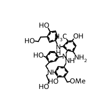 COCc1cc(NN(c2ccc(O)c(CNCCO)c2)c2c(N)cc(O)c(C)c2Nc2ccc(O)c(CCO)c2)ccc1O